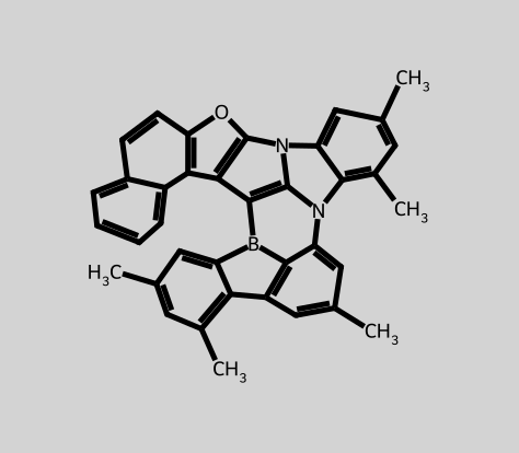 Cc1cc(C)c2c(c1)B1c3c-2cc(C)cc3-n2c3c(C)cc(C)cc3n3c4oc5ccc6ccccc6c5c4c1c23